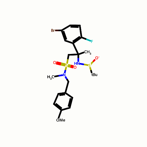 COc1ccc(CN(C)S(=O)(=O)CC(C)(N[S+]([O-])C(C)(C)C)c2cc(Br)ccc2F)cc1